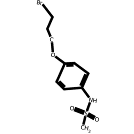 CS(=O)(=O)Nc1ccc(OCCCBr)cc1